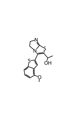 COc1cccc2sc(C3=C(C(C)O)SC4=NCCN43)cc12